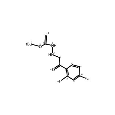 CC(C)(C)OC(=O)NNCC(=O)c1ccc(F)cc1F